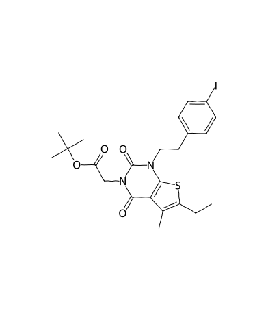 CCc1sc2c(c1C)c(=O)n(CC(=O)OC(C)(C)C)c(=O)n2CCc1ccc(I)cc1